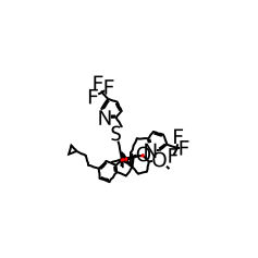 COC1CCC2(CC1)Cc1ccc(CCC3CC3)cc1C21N=C(SCc2ccc(C(F)(F)F)cn2)N(Cc2ccc(C(F)(F)F)cn2)C1=O